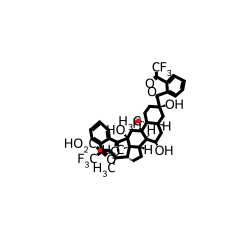 C[C@H](CCC(=O)O)[C@H]1CC[C@H]2[C@@H]3[C@H](O)C[C@@H]4C[C@@](O)(C(=O)c5ccccc5C(=O)C(F)(F)F)CC[C@]4(C)[C@H]3C[C@@](O)(C(=O)c3ccccc3C(=O)C(F)(F)F)[C@]12C